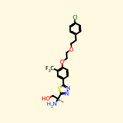 C[C@](N)(CO)c1nnc(-c2ccc(OCCOCCc3ccc(Cl)cc3)c(C(F)(F)F)c2)s1